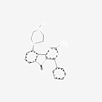 CCCN1CCN(c2cccc3c2-c2nc(N)nc(-c4ccccc4)c2C3=O)CC1